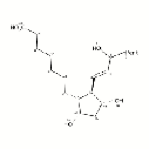 CCCCCC(O)C=C[C@@H]1[C@@H](CCCCCCC(=O)O)[C@@H](O)C[C@H]1O